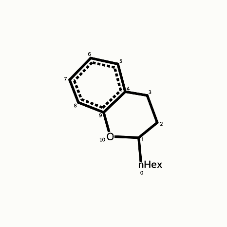 CCCCCCC1CCc2ccccc2O1